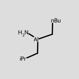 CCCC[CH2][Al]([NH2])[CH2]C(C)C